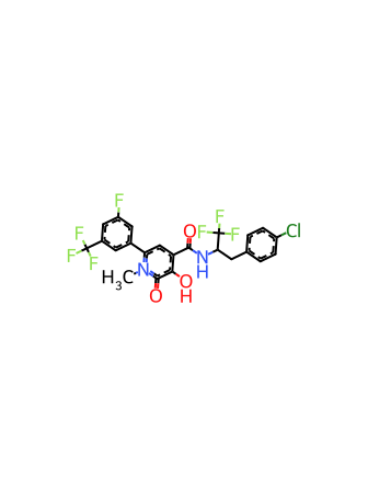 Cn1c(-c2cc(F)cc(C(F)(F)F)c2)cc(C(=O)NC(Cc2ccc(Cl)cc2)C(F)(F)F)c(O)c1=O